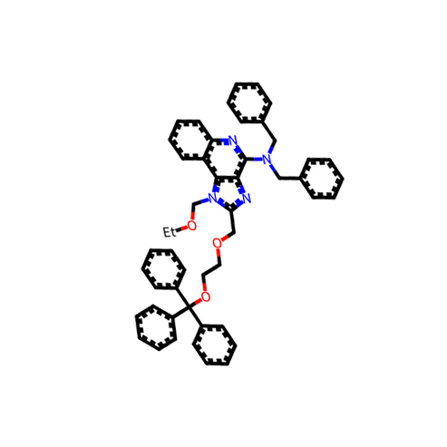 CCOCn1c(COCCOC(c2ccccc2)(c2ccccc2)c2ccccc2)nc2c(N(Cc3ccccc3)Cc3ccccc3)nc3ccccc3c21